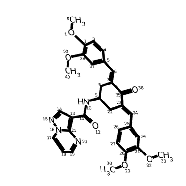 COc1ccc(/C=C2\CC(NC(=O)c3cnn4cccnc34)C/C(=C\c3ccc(OC)c(OC)c3)C2=O)cc1OC